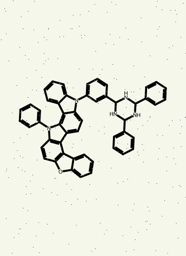 c1ccc(C2NC(c3ccccc3)NC(c3cccc(-n4c5ccccc5c5c4ccc4c6c7c(ccc6n(-c6ccccc6)c45)oc4ccccc47)c3)N2)cc1